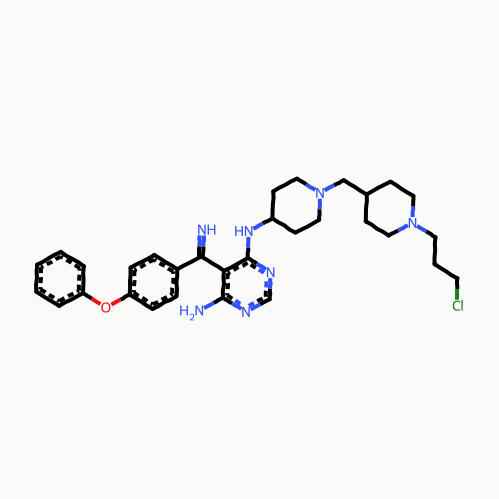 N=C(c1ccc(Oc2ccccc2)cc1)c1c(N)ncnc1NC1CCN(CC2CCN(CCCCl)CC2)CC1